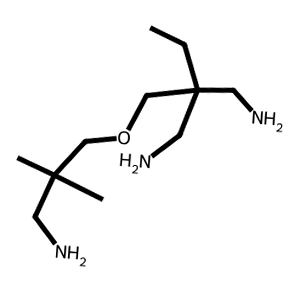 CCC(CN)(CN)COCC(C)(C)CN